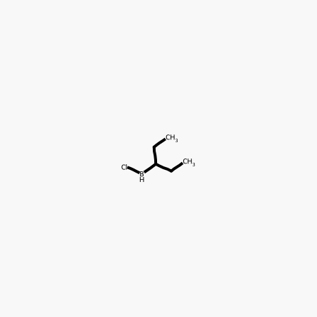 CCC(BCl)CC